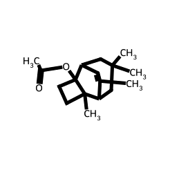 CC(=O)OC12CCC1(C)C1CC(C)(C)CC2C=C1C